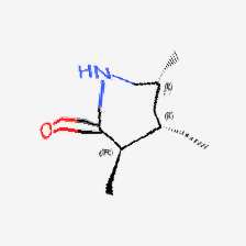 C[C@H]1[C@@H](C)NC(=O)[C@@H]1C